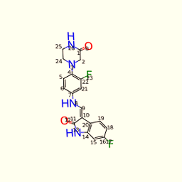 O=C1CN(c2ccc(NC=C3C(=O)Nc4cc(F)ccc43)cc2F)CCN1